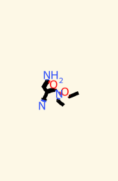 CCON(CC)c1oc(N)cc1C#N